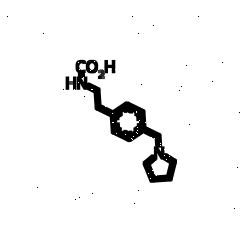 O=C(O)NCCc1ccc(CN2CCCC2)cc1